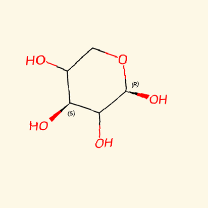 OC1CO[C@@H](O)C(O)[C@H]1O